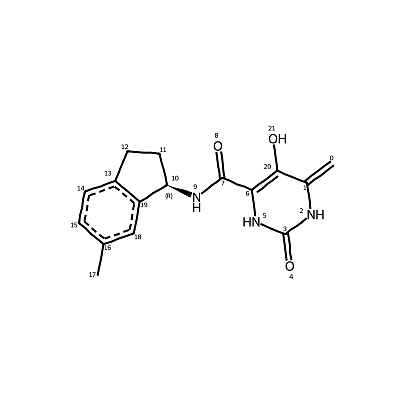 C=C1NC(=O)NC(C(=O)N[C@@H]2CCc3ccc(C)cc32)=C1O